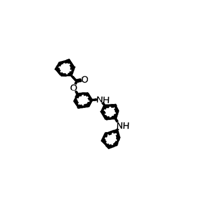 O=C(Oc1cccc(Nc2ccc(Nc3ccccc3)cc2)c1)c1ccccc1